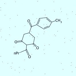 CCCC(=O)C1C(=O)CC(C(=O)c2ccc(C)cc2)CC1=O